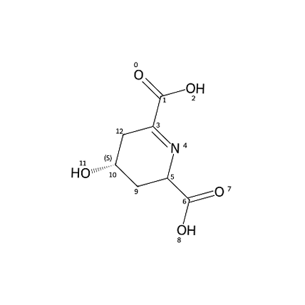 O=C(O)C1=NC(C(=O)O)C[C@H](O)C1